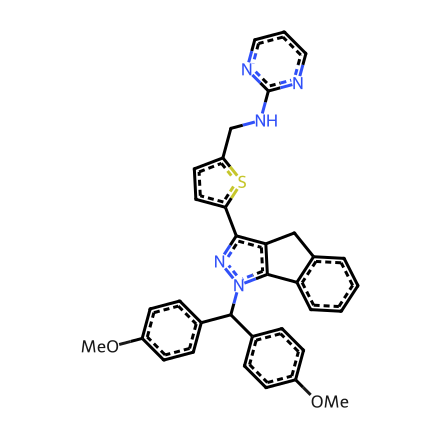 COc1ccc(C(c2ccc(OC)cc2)n2nc(-c3ccc(CNc4ncccn4)s3)c3c2-c2ccccc2C3)cc1